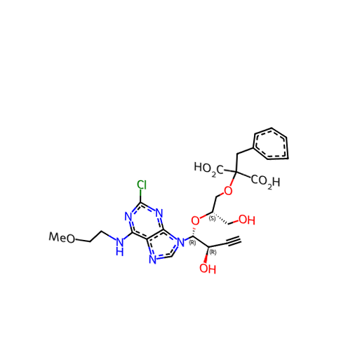 C#C[C@@H](O)[C@@H](O[C@@H](CO)COC(Cc1ccccc1)(C(=O)O)C(=O)O)n1cnc2c(NCCOC)nc(Cl)nc21